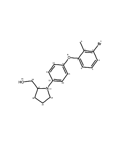 Cc1c(Br)cccc1Oc1ccc(N2CCCC2CO)cc1